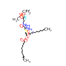 CCCCCCCCCCCC(=O)OC[C@H](CSC[C@H](N)C(=O)NCCCC(F)(F)P(=O)(OCC)OCC)OC(=O)CCCCCCCCCCC